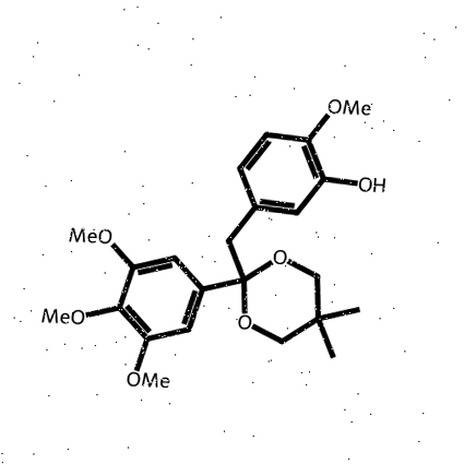 COc1ccc(CC2(c3cc(OC)c(OC)c(OC)c3)OCC(C)(C)CO2)cc1O